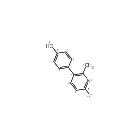 Cc1nc(Cl)ccc1-c1ccc(O)cc1